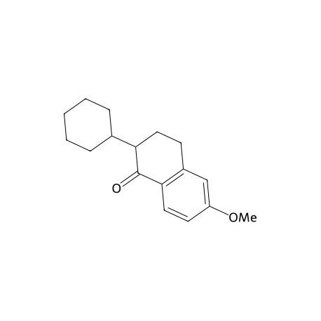 COc1ccc2c(c1)CCC(C1CCCCC1)C2=O